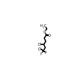 CCOC(=O)CCC(Cl)CC(F)(F)Cl